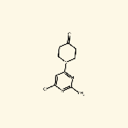 Cc1nc(Cl)cc(N2CCC(=O)CC2)n1